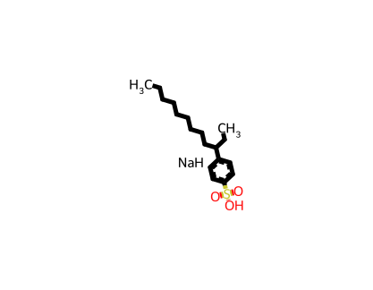 CCCCCCCCCC(CC)c1ccc(S(=O)(=O)O)cc1.[NaH]